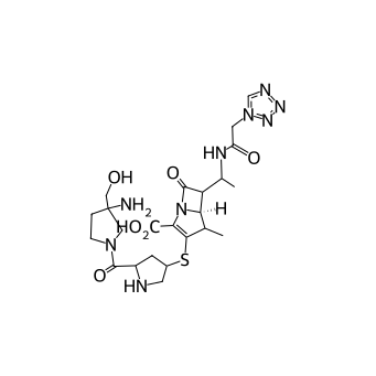 CC(NC(=O)Cn1cnnn1)C1C(=O)N2C(C(=O)O)=C(SC3CNC(C(=O)N4CCC(N)(CO)C4)C3)C(C)[C@H]12